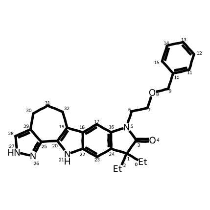 CCC1(CC)C(=O)N(CCOCc2ccccc2)c2cc3c4c([nH]c3cc21)-c1n[nH]cc1CCC4